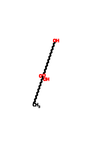 CCCCCCCCCCCCCCCCC(O)C(=O)OCCCCCCCCCCCCCCCCCCCCO